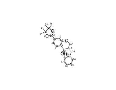 CC1(C)OB(c2ccc3c(c2)OC[C@H](Cc2ccccc2)[C@H]3O)OC1(C)C